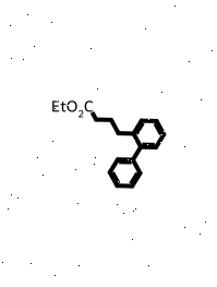 CCOC(=O)CCCc1ccccc1-c1ccccc1